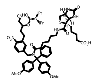 COc1ccc(C(c2ccccc2)(c2ccc(OC)cc2)N(Cc2ccc([N+](=O)[O-])c(CCC(CC#N)OP(O)N(C(C)C)C(C)C)c2)C(=O)CCCCCNC(=O)[C@@]2(CCCCC(=O)O)SC[C@@H]3NC(=O)N[C@@H]32)cc1